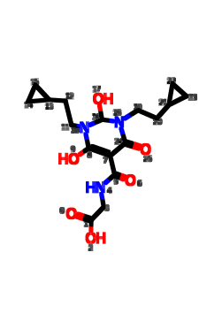 O=C(O)CNC(=O)C1=C(O)N(CCC2CC2)C(O)N(CCC2CC2)C1=O